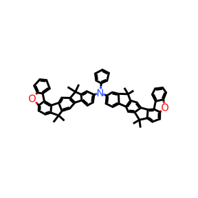 CC1(C)c2cc(N(c3ccccc3)c3ccc4c(c3)C(C)(C)c3cc5c(cc3-4)C(C)(C)c3ccc4oc6ccccc6c4c3-5)ccc2-c2cc3c(cc21)-c1c(ccc2oc4ccccc4c12)C3(C)C